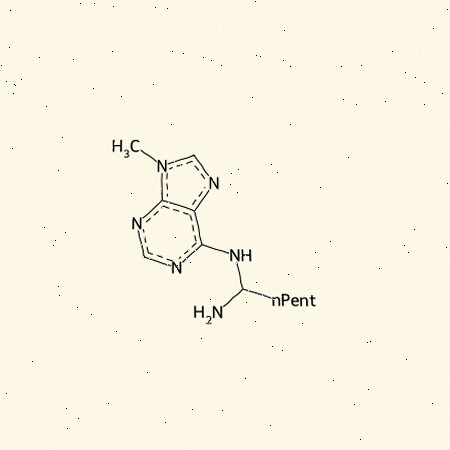 CCCCCC(N)Nc1ncnc2c1ncn2C